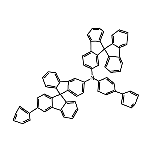 c1ccc(-c2ccc(N(c3ccc4c(c3)-c3ccccc3C43c4ccccc4-c4cc(-c5ccccc5)ccc43)c3ccc4c(c3)C3(c5ccccc5-c5ccccc53)c3ccccc3-4)cc2)cc1